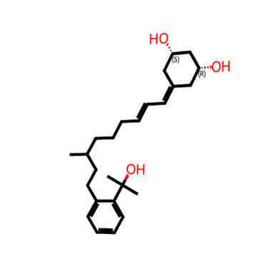 CC(CCCC=CC=C1C[C@@H](O)C[C@@H](O)C1)CCc1ccccc1C(C)(C)O